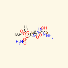 CCC(C)CC(=O)OC(C)OC(=O)C1(C=CCOC(N)=O)CS[C@@H]2C(NC(=O)C(=NO)c3csc(N)n3)C(=O)N2C1